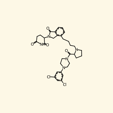 O=C1CCC(N2Cc3c(CCCCN4CCCC4C(=O)N4CCN(c5cc(Cl)cc(Cl)c5)CC4)cccc3C2=O)C(=O)N1